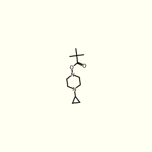 CC(C)(C)C(=O)ON1CCN(C2CC2)CC1